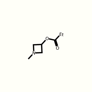 CCC(=O)OC1CN(C)C1